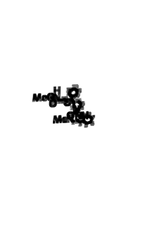 CNC[C@H](CC1CCCCC1)NC(=O)N1CCC[C@@H]([C@@H](OCCNC(=O)OC)C2CCCCC2)C1